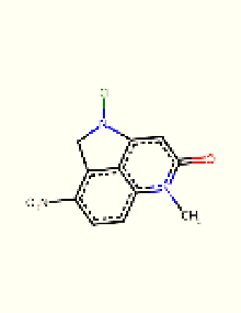 Cn1c(=O)cc2c3c(c([N+](=O)[O-])ccc31)CN2Cl